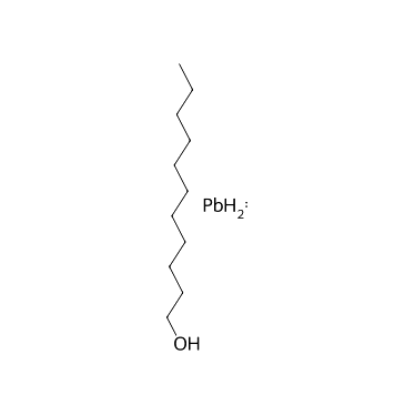 CCCCCCCCCCCO.[PbH2]